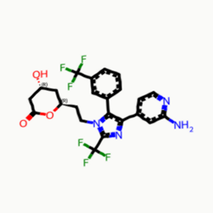 Nc1cc(-c2nc(C(F)(F)F)n(CC[C@@H]3C[C@@H](O)CC(=O)O3)c2-c2cccc(C(F)(F)F)c2)ccn1